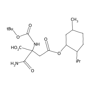 CC1CCC(C(C)C)C(OC(=O)CC(NC(=O)OC(C)(C)C)(C(N)=O)C(=O)O)C1